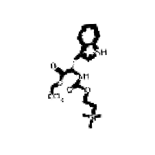 C[Si](C)(C)CCOC(=O)N[C@@H](Cc1c[nH]c2ccccc12)C(=O)OCC(Cl)(Cl)Cl